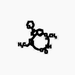 CCC1C=C2N=C1CCOC(=O)NCC[C@@H](C)Oc1ccc3c(c1)c2nn3C1CCCCO1